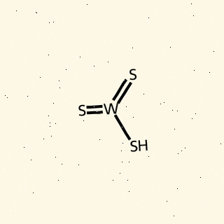 [S]=[W](=[S])[SH]